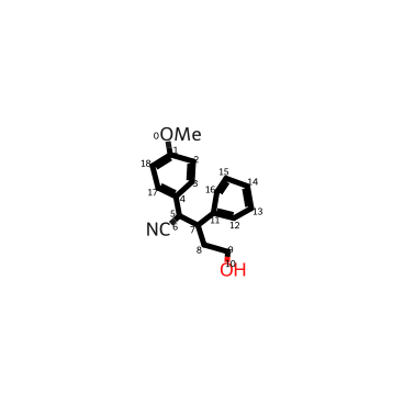 COc1ccc(C(C#N)C(CCO)c2ccccc2)cc1